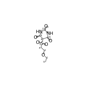 CCOCCS(=O)(=O)C1C(=O)NC(=O)NC1=O